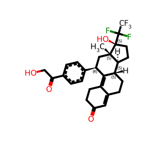 C[C@]12C[C@H](c3ccc(C(=O)CO)cc3)C3=C4CCC(=O)C=C4CC[C@H]3[C@@H]1CC[C@@]2(O)C(F)(F)C(F)(F)F